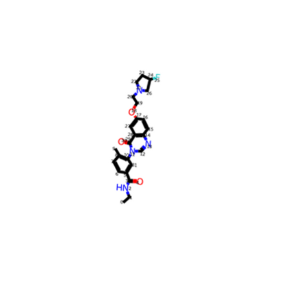 CCNC(=O)c1ccc(C)c(-n2cnc3ccc(OCCN4CCC(F)C4)cc3c2=O)c1